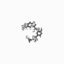 Cc1ccc(-c2noc([C@H]3C[C@@H]3F)n2)cc1NC(=O)c1cnc2ccc(CS(C)(=O)=O)cn12